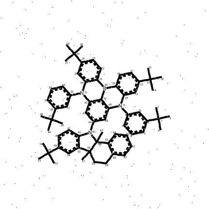 CC(C)(C)c1cccc(N2c3cc(C(C)(C)C)ccc3B3c4ccc(C(C)(C)C)cc4N(c4cccc(C(C)(C)C)c4)c4cc(N5c6ccc(C(C)(C)C)cc6C6(C)CCc7ccccc7C56C)cc2c43)c1